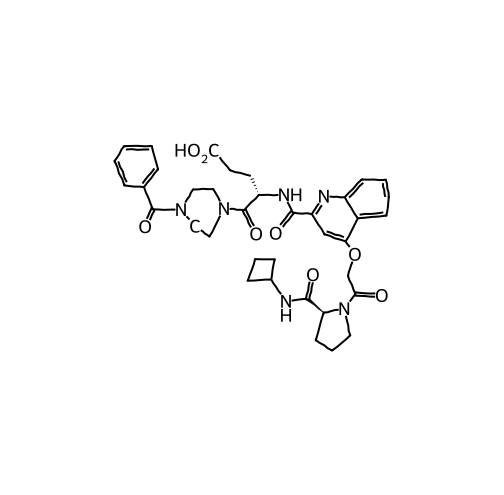 O=C(O)CC[C@H](NC(=O)c1cc(OCC(=O)N2CCC[C@H]2C(=O)NC2CCC2)c2ccccc2n1)C(=O)N1CCN(C(=O)c2ccccc2)CC1